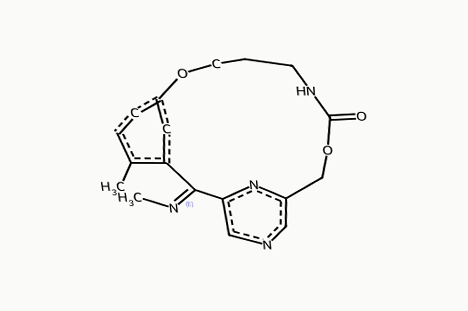 C/N=C1/c2cncc(n2)COC(=O)NCCCOc2ccc(C)c1c2